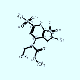 [CH2]OC(=O)N(CC)[C@H]1C=C(S(N)(=O)=O)SC2=C1C[C@H](C)S2(=O)=O